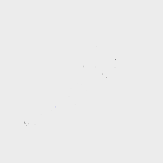 COC(=O)/C=C/c1ccc(Cn2c(C3CC3)nc3c(C)cc(C)nc32)cc1